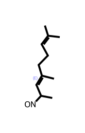 CC(C)=CCC/C(C)=C/C(C)N=O